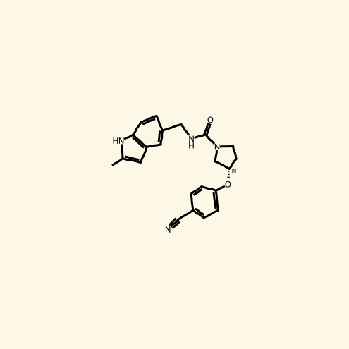 Cc1cc2cc(CNC(=O)N3CC[C@H](Oc4ccc(C#N)cc4)C3)ccc2[nH]1